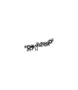 CC(C)Cc1cc(CNC(=O)CN2CCN(C[C@H](O)COc3ccc(F)cc3)CC2)nn1-c1ccc(F)cc1